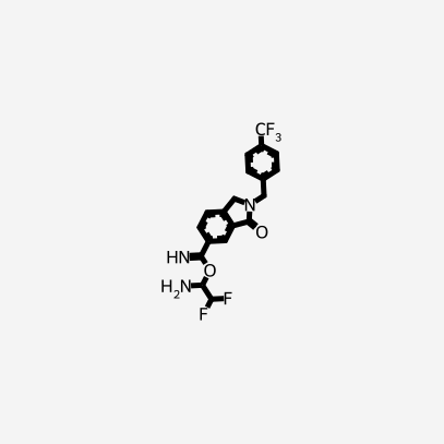 N=C(OC(N)C(F)F)c1ccc2c(c1)C(=O)N(Cc1ccc(C(F)(F)F)cc1)C2